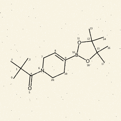 CC(C)(C)C(=O)N1CC=C(B2OC(C)(C)C(C)(C)O2)CC1